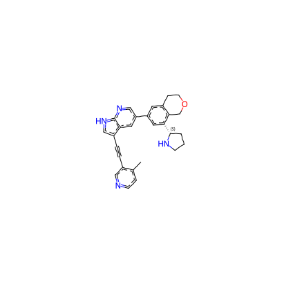 Cc1ccncc1C#Cc1c[nH]c2ncc(-c3cc4c(c([C@@H]5CCCN5)c3)COCC4)cc12